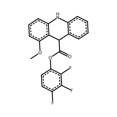 COc1cccc2c1C(C(=O)Oc1ccc(F)c(F)c1F)c1ccccc1N2